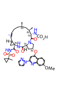 COc1ccc2c(O[C@@H]3C[C@H]4C(=O)N[C@]5(C(=O)NS(=O)(=O)C6(C)CC6)C[C@H]5/C=C\CC[C@@H](C)C[C@@H](C)[C@H](NC(=O)O)C(=O)N4C3)cc(-n3cccn3)nc2c1